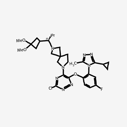 COC1(OC)CC([C@@H](C(C)C)N2CC3(CCN(c4nc(Cl)nnc4Oc4ccc(F)cc4-n4c(C)nnc4C4CC4)C3)C2)C1